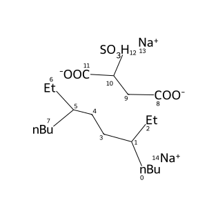 CCCCC(CC)CCC(CC)CCCC.O=C([O-])CC(C(=O)[O-])S(=O)(=O)O.[Na+].[Na+]